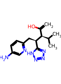 C=C(O)[C@@H](C(C)C)[C@H](Cc1ccc(N)cn1)c1nnn[nH]1